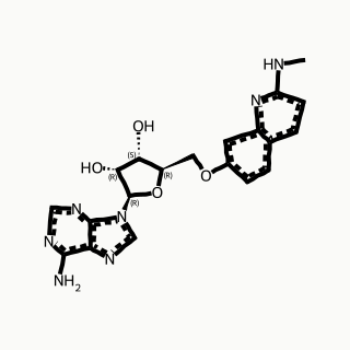 CNc1ccc2ccc(OC[C@H]3O[C@@H](n4cnc5c(N)ncnc54)[C@H](O)[C@@H]3O)cc2n1